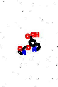 O=C(O)c1cc(OCc2ncco2)c2ncccc2c1